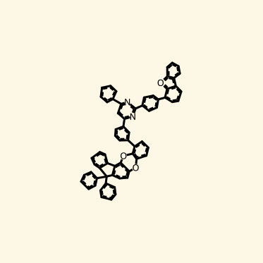 c1ccc(-c2cc(-c3cccc(-c4cccc5c4Oc4c(ccc6c4-c4ccccc4C6(c4ccccc4)c4ccccc4)O5)c3)nc(-c3ccc(-c4cccc5c4oc4ccccc45)cc3)n2)cc1